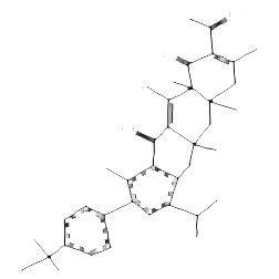 CC(=O)C1=C(C)CC2(C)CC3(C)Cc4c(C(C)C)cc(-c5ccc(C(C)(C)C)cc5)c(C)c4C(=O)C3=C(C)C2(C)C1=O